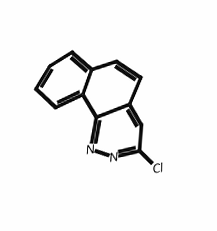 Clc1cc2ccc3ccccc3c2nn1